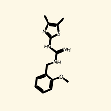 COc1ccccc1CNC(=N)Nc1nc(C)c(C)s1